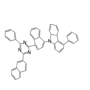 C1=CC2c3c(-c4ccccc4)cccc3N(c3ccc(-c4nc(-c5ccccc5)nc(-c5ccc6ccccc6c5)n4)c4ccccc34)C2C=C1